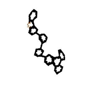 c1cc(-c2cccc(-c3ccc4c5ccccc5c5ccccc5c4c3)c2)cc(-c2ccc3sc4ccccc4c3c2)c1